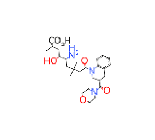 C[C@H](C[C@H](O)[C@@H](N)CC(C)(C)CC(=O)N1C[C@H](C(=O)N2CCOCC2)Cc2ccccc21)C(=O)O